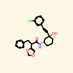 O=C(N[C@H]1CCC[C@@](O)(C#Cc2cccc(Cl)c2)C1)C(Cc1ccccc1)C1=COCO1